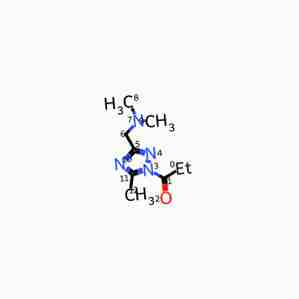 CCC(=O)n1nc(CN(C)C)nc1C